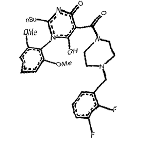 CCCCc1nc(=O)c(C(=O)N2CCN(Cc3cccc(F)c3F)CC2)c(O)n1-c1c(OC)cccc1OC